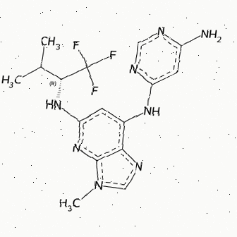 CC(C)[C@@H](Nc1cc(Nc2cc(N)ncn2)c2ncn(C)c2n1)C(F)(F)F